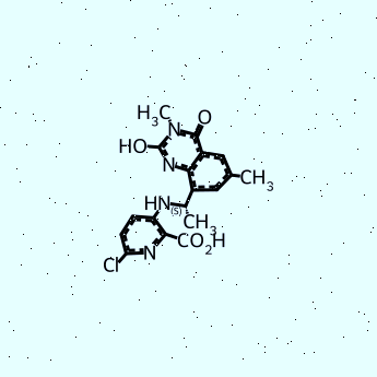 Cc1cc([C@H](C)Nc2ccc(Cl)nc2C(=O)O)c2nc(O)n(C)c(=O)c2c1